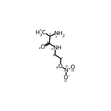 CC(N)C(=O)NCCO[N+](=O)[O-]